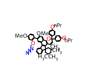 CCCOc1ccc(C2(c3ccc(OCCC)cc3)C=Cc3c4c(c5cc(-c6ccc(OC)cc6OCN=[N+]=[N-])c(OC)cc5c3O2)-c2ccccc2C42CC(C)(C)CC(C)(C)C2)cc1